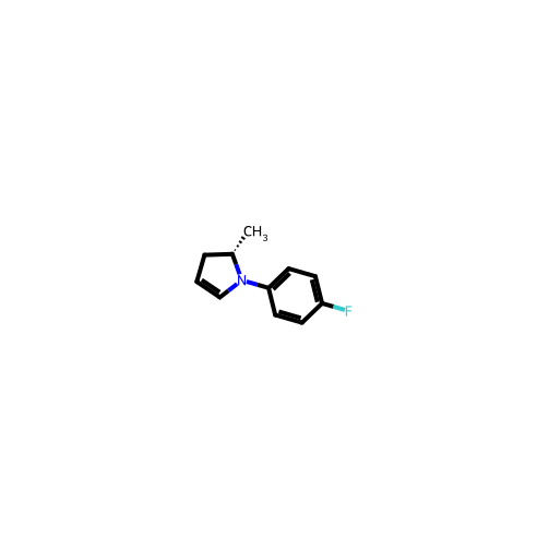 C[C@H]1CC=CN1c1ccc(F)cc1